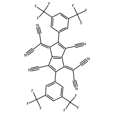 N#CC(C#N)=C1C2=C(C(C#N)=C1c1cc(C(F)(F)F)cc(C(F)(F)F)c1)C(=C(C#N)C#N)C(c1cc(C(F)(F)F)cc(C(F)(F)F)c1)=C2C#N